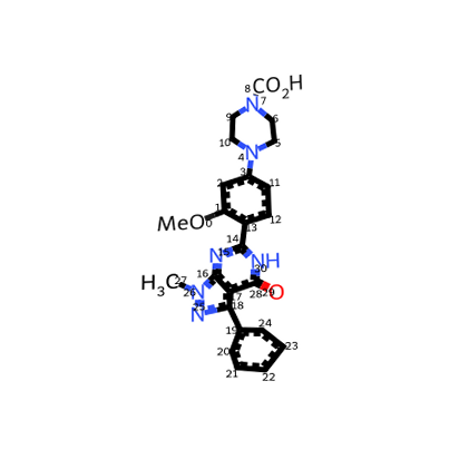 COc1cc(N2CCN(C(=O)O)CC2)ccc1-c1nc2c(c(-c3ccccc3)nn2C)c(=O)[nH]1